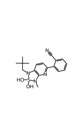 CN1c2nc(-c3ccccc3C#N)ccc2N(CC(C)(C)C)S1(O)O